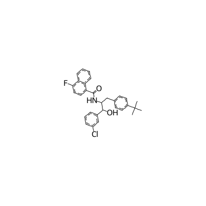 CC(C)(C)c1ccc(CC(NC(=O)c2ccc(F)c3ccccc23)C(O)c2cccc(Cl)c2)cc1